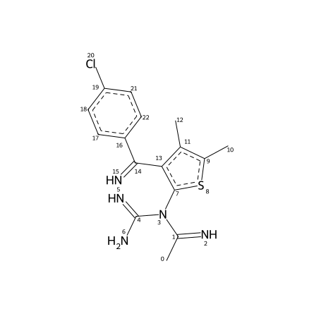 CC(=N)N(C(=N)N)c1sc(C)c(C)c1C(=N)c1ccc(Cl)cc1